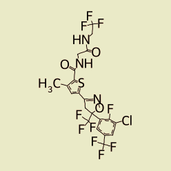 Cc1cc(C2=NOC(c3cc(C(F)(F)F)cc(Cl)c3F)(C(F)(F)F)C2)sc1C(=O)NCC(=O)NCC(F)(F)F